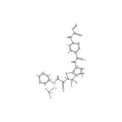 C=CC(=O)Nc1ccc(C(=O)Nc2n[nH]c3c2CN(C(=O)N[C@H](CN(C)C)c2ccccc2)C3(C)C)nc1